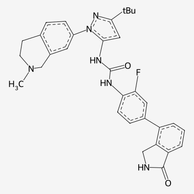 CN1CCc2ccc(-n3nc(C(C)(C)C)cc3NC(=O)Nc3ccc(-c4cccc5c4CNC5=O)cc3F)cc2C1